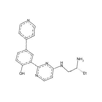 CC[C@@H](N)CNc1ccnc(-c2cc(-c3ccncc3)ccc2O)n1